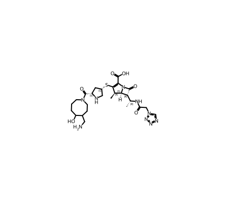 C[C@@H](NC(=O)Cn1cnnn1)[C@H]1C(=O)N2C(C(=O)O)=C(S[C@@H]3CN[C@H](C(=O)N4CCCC(O)C(CN)CC4)C3)[C@H](C)[C@H]12